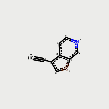 C#Cc1csc2cnccc12